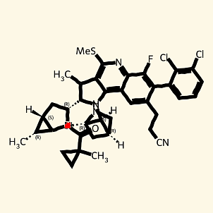 CSc1nc2c(F)c(-c3cccc(Cl)c3Cl)c(CCC#N)cc2c2c1C(C)C([C@H]1C[C@@H]3C([C@@H]3C)N1C(=O)C1(C)CC1)N2[C@H]1[C@H]2CN[C@@H]1C2